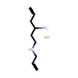 C=CCNCCC(N)CC=C.Cl